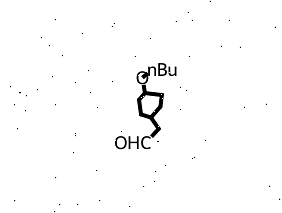 CCCCOC1CCC(CC=O)CC1